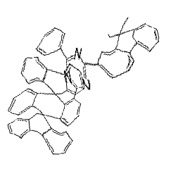 CC1(C)c2ccccc2-c2ccc(-c3nc(-c4ccccc4)nc(-c4cccc5c4C4(c6ccccc6-c6ccccc64)c4ccccc4C54c5ccccc5-c5ccccc54)n3)cc21